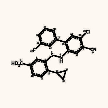 N#Cc1cc(NSc2cc(C(=O)O)ccc2C2CC2)c(-c2cccc(F)c2)cc1Cl